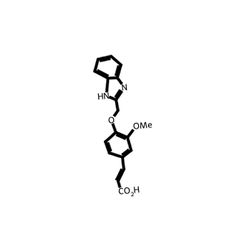 COc1cc(/C=C/C(=O)O)ccc1OCc1nc2ccccc2[nH]1